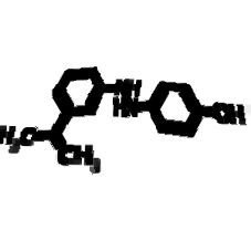 CC(C)c1cccc(NNc2ccc(O)cc2)c1